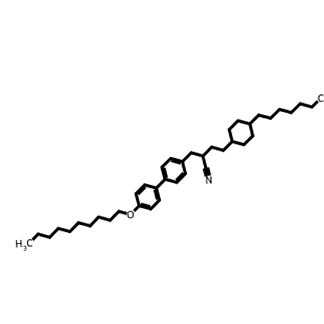 CCCCCCCCCCOc1ccc(-c2ccc(CC(C#N)CCC3CCC(CCCCCCC)CC3)cc2)cc1